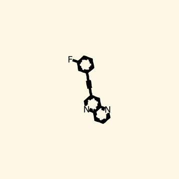 Fc1cccc(C#Cc2cnc3cccnc3c2)c1